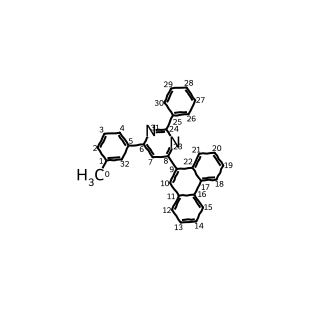 Cc1cccc(-c2cc(-c3cc4ccccc4c4ccccc34)nc(-c3ccccc3)n2)c1